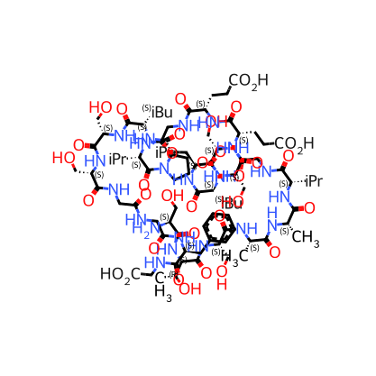 CC[C@H](C)[C@H](NC(=O)[C@H](CO)NC(=O)CNC(=O)[C@@H](NC(=O)[C@H](C)NC(=O)[C@H](C)NC(=O)[C@H](CO)NC(=O)[C@@H](NC(=O)[C@@H](N)CO)[C@@H](C)O)C(C)C)C(=O)N[C@@H](CC(C)C)C(=O)N[C@@H](CO)C(=O)N[C@@H](CCC(=O)O)C(=O)N[C@@H](CCC(=O)O)C(=O)NCC(=O)N[C@H](C(=O)N1CCC[C@H]1C(=O)N[C@H](C(=O)N[C@@H](CO)C(=O)N[C@@H](CO)C(=O)NCC(=O)NCC(=O)N[C@@H](Cc1ccccc1)C(=O)NCC(=O)O)[C@@H](C)CC)C(C)C